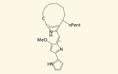 CCCCCC1CCCCCCCc2cc1c(/C=C1/N=C(c3ccc[nH]3)C=C1OC)[nH]2